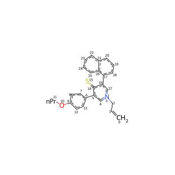 C=CCn1cc(-c2ccc(OCCC)cc2)c(=S)c(-c2cccc3ccccc23)c1